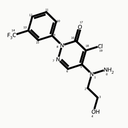 NN(CCO)c1cnn(-c2cccc(C(F)(F)F)c2)c(=O)c1Cl